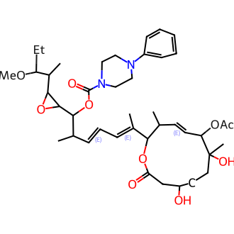 CCC(OC)C(C)C1OC1C(OC(=O)N1CCN(c2ccccc2)CC1)C(C)/C=C/C=C(\C)C1OC(=O)CC(O)CCC(C)(O)C(OC(C)=O)/C=C/C1C